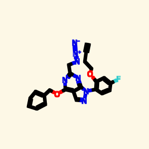 C#CCCOc1cc(F)ccc1-n1ncc2c(OCc3ccccc3)nc(CN=[N+]=[N-])nc21